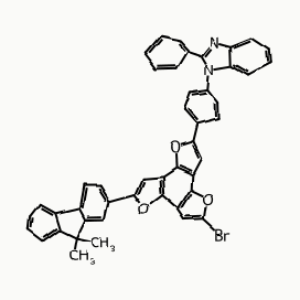 CC1(C)c2ccccc2-c2ccc(-c3cc4c(o3)c3cc(Br)oc3c3cc(-c5ccc(-n6c(-c7ccccc7)nc7ccccc76)cc5)oc34)cc21